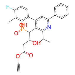 C#COC(=O)CC(O)C(c1c(-c2ccc(F)c(C)c2)cc(-c2ccccc2)nc1C(C)C)[PH](=O)O